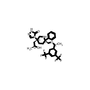 C[C@H](O)C[C@]1(n2cn[nH]c2=O)CC[C@@](CO[C@H](C)C2C=C(C(F)(F)F)C=C(C(F)(F)F)C2)(c2ccccc2)NC1